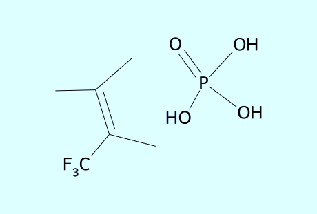 CC(C)=C(C)C(F)(F)F.O=P(O)(O)O